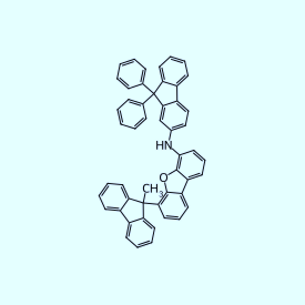 CC1(c2cccc3c2oc2c(Nc4ccc5c(c4)C(c4ccccc4)(c4ccccc4)c4ccccc4-5)cccc23)c2ccccc2-c2ccccc21